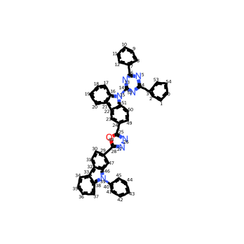 c1ccc(-c2nc(-c3ccccc3)nc(-n3c4ccccc4c4cc(-c5nnc(-c6ccc7c8ccccc8n(-c8ccccc8)c7c6)o5)ccc43)n2)cc1